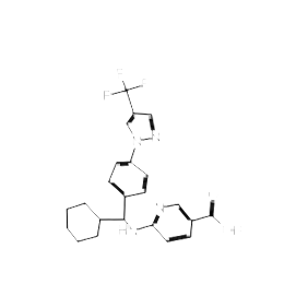 O=C(O)c1ccc(NC(c2ccc(-n3cc(C(F)(F)F)cn3)cc2)C2CCCCC2)nc1